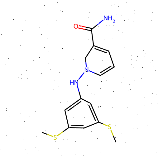 CSc1cc(NN2C=CC=C(C(N)=O)C2)cc(SC)c1